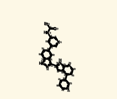 CCC(=O)Nc1cncc(-c2ccc3[nH]nc(-c4cc5c(-c6cccnc6)ccnc5[nH]4)c3c2)c1